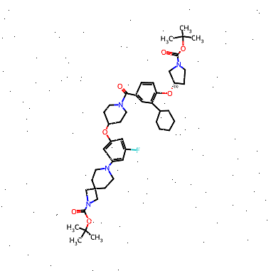 CC(C)(C)OC(=O)N1CC[C@H](Oc2ccc(C(=O)N3CCC(Oc4cc(F)cc(N5CCC6(CC5)CN(C(=O)OC(C)(C)C)C6)c4)CC3)cc2C2CCCCC2)C1